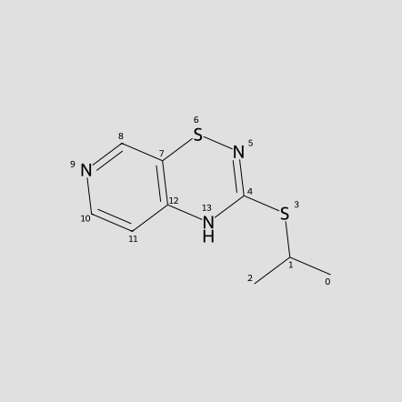 CC(C)SC1=NSc2cnccc2N1